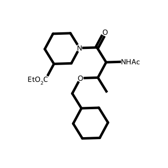 CCOC(=O)C1CCCN(C(=O)C(NC(C)=O)C(C)OCC2CCCCC2)C1